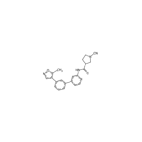 Cc1oncc1-c1cccc(-c2ccnc(NC(=O)C3CCN(C#N)C3)c2)c1